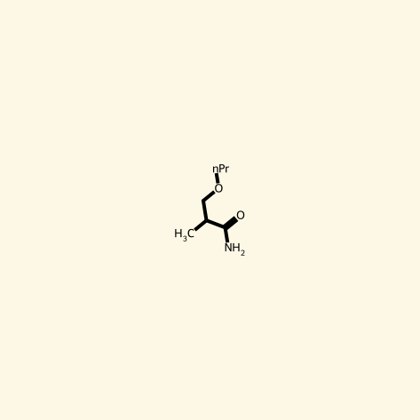 CCCOCC(C)C(N)=O